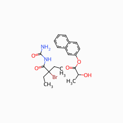 CC(O)C(=O)Oc1ccc2ccccc2c1.CCC(Br)(CC)C(=O)NC(N)=O